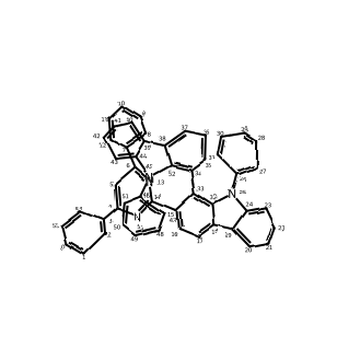 c1ccc(-c2cc(-c3ccccc3)nc(-c3ccc4c5ccccc5n(-c5ccccc5)c4c3-c3cccc4c5ccccc5n(-c5ccccc5)c34)n2)cc1